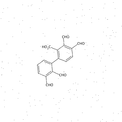 O=Cc1cccc(-c2ccc(C=O)c(C=O)c2C(=O)O)c1C=O